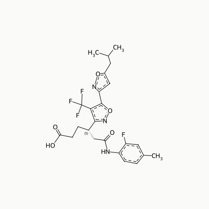 Cc1ccc(NC(=O)C[C@H](CCC(=O)O)c2noc(-c3cc(CC(C)C)on3)c2C(F)(F)F)c(F)c1